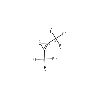 FC(F)(F)C1=C(C(F)(F)F)O1